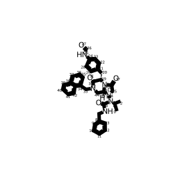 CC(C)N(C(=O)NCc1ccccc1)N1CC(=O)N2[C@@H](Cc3ccc(NC=O)cc3)C(=O)N(Cc3cccc4ccccc34)C[C@@H]21